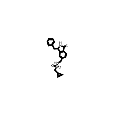 O=C1NC(Cc2ccccc2)c2cc(CNS(=O)(=O)CC3CC3)ccc21